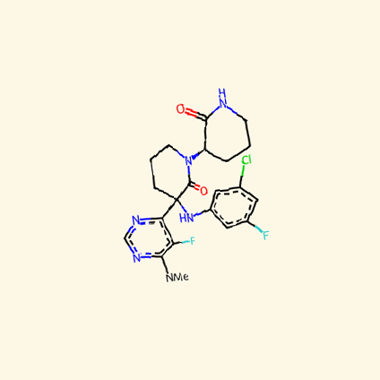 CNc1ncnc(C2(Nc3cc(F)cc(Cl)c3)CCCN([C@@H]3CCCNC3=O)C2=O)c1F